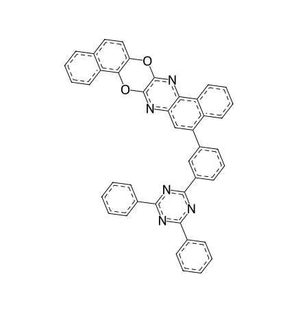 c1ccc(-c2nc(-c3ccccc3)nc(-c3cccc(-c4cc5nc6c(nc5c5ccccc45)Oc4ccc5ccccc5c4O6)c3)n2)cc1